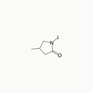 CC1CC(=O)N(I)C1